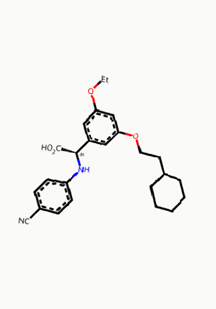 CCOc1cc(OCCC2CCCCC2)cc([C@@H](Nc2ccc(C#N)cc2)C(=O)O)c1